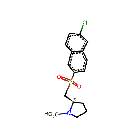 O=C(O)N1CCC[C@@H]1CS(=O)(=O)c1ccc2cc(Cl)ccc2c1